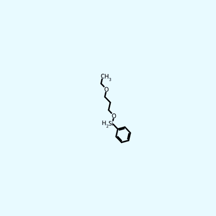 CCOCCCO[SiH2]c1ccccc1